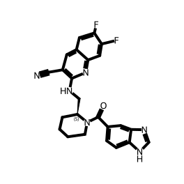 N#Cc1cc2cc(F)c(F)cc2nc1NC[C@@H]1CCCCN1C(=O)c1ccc2[nH]cnc2c1